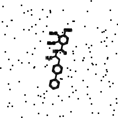 COc1ccc(C(=O)NC(C)Cc2ccc(-c3ccccc3)cc2)c(OC)c1OC